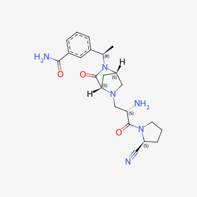 C[C@H](c1cccc(C(N)=O)c1)N1C(=O)[C@@H]2C[C@H]1CN2C[C@H](N)C(=O)N1CCC[C@H]1C#N